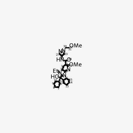 CCn1c(C(O)(c2ccccc2)c2ccccc2)nc2nc(OC)c(C(=O)Nc3cnn(CCOC)c3)cc21